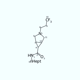 CCCCCCCNC(=O)C1C2CN(CCC(F)(F)F)CC21